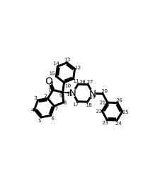 O=C1c2ccccc2C[C@]1(c1ccccc1)N1CCN(Cc2ccccc2)CC1